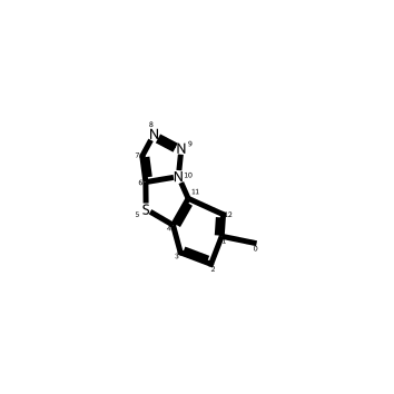 Cc1ccc2sc3cnnn3c2c1